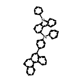 c1ccc(N(c2ccc(-c3cc4ccc5ccccc5c4c4ccccc34)cc2)c2cccc3c2c2ccccc2n3-c2ccccc2)cc1